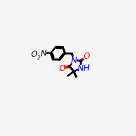 CC1(C)NC(=O)N(Cc2ccc([N+](=O)[O-])cc2)C1=O